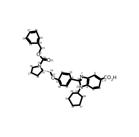 O=C(O)c1ccc2c(c1)nc(-c1ccc(OC[C@@H]3CCCN3C(=O)OCc3ccccc3)cc1)n2C1CCCCC1